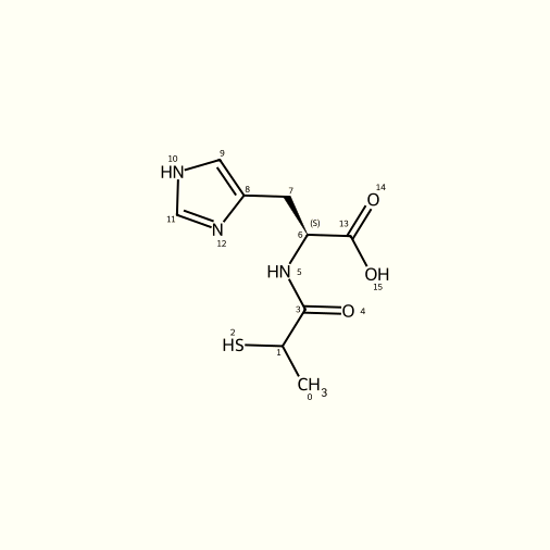 CC(S)C(=O)N[C@@H](Cc1c[nH]cn1)C(=O)O